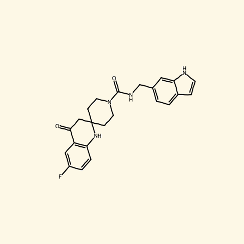 O=C1CC2(CCN(C(=O)NCc3ccc4cc[nH]c4c3)CC2)Nc2ccc(F)cc21